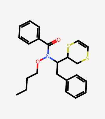 CCCCON(C(=O)c1ccccc1)C(Cc1ccccc1)C1CSC=CS1